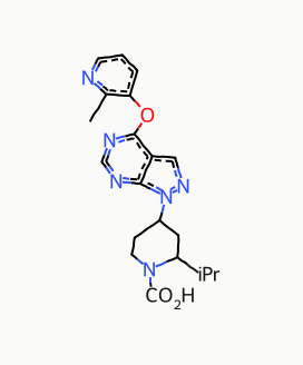 Cc1ncccc1Oc1ncnc2c1cnn2C1CCN(C(=O)O)C(C(C)C)C1